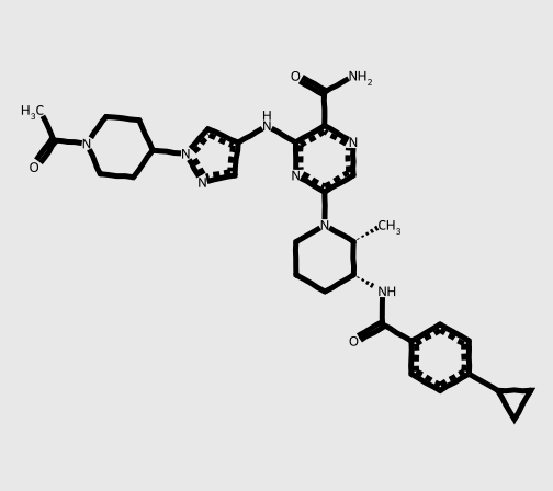 CC(=O)N1CCC(n2cc(Nc3nc(N4CCC[C@@H](NC(=O)c5ccc(C6CC6)cc5)[C@H]4C)cnc3C(N)=O)cn2)CC1